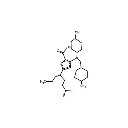 CCCC(CCC(F)F)c1cc(N(CC2CCC(C)CC2)C2CCC(O)CC2)c(C(=O)O)s1